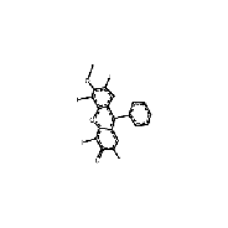 COc1c(I)cc2c(-c3ccccc3)c3cc(I)c(=O)c(I)c-3oc2c1I